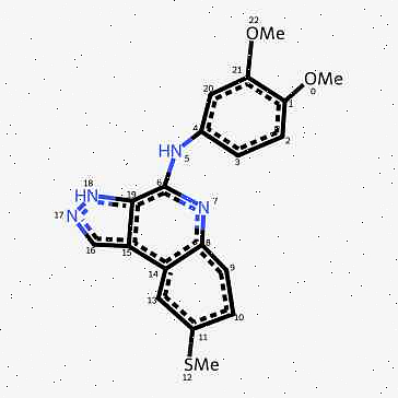 COc1ccc(Nc2nc3ccc(SC)cc3c3cn[nH]c23)cc1OC